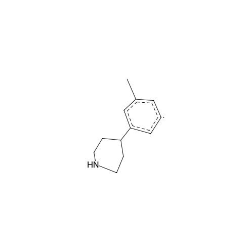 Cc1c[c]cc(C2CCNCC2)c1